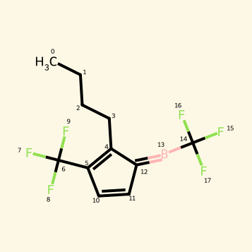 CCCCC1=C(C(F)(F)F)C=CC1=BC(F)(F)F